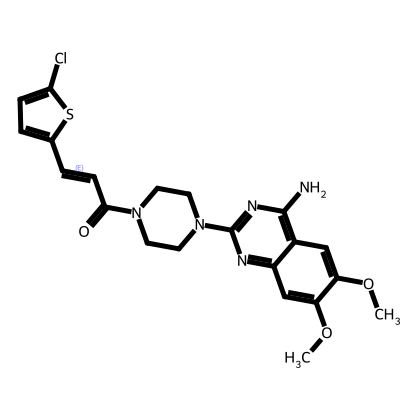 COc1cc2nc(N3CCN(C(=O)/C=C/c4ccc(Cl)s4)CC3)nc(N)c2cc1OC